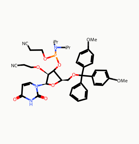 COc1ccc(C(OC[C@H]2O[C@@H](n3ccc(=O)[nH]c3=O)[C@@H](OCCC#N)C2OP(OCCC#N)N(C(C)C)C(C)C)(c2ccccc2)c2ccc(OC)cc2)cc1